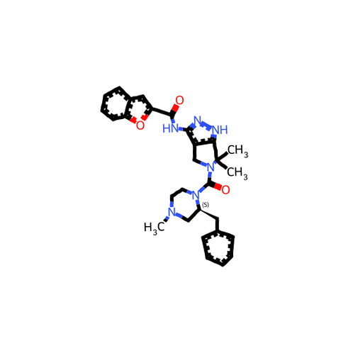 CN1CCN(C(=O)N2Cc3c(NC(=O)c4cc5ccccc5o4)n[nH]c3C2(C)C)[C@@H](Cc2ccccc2)C1